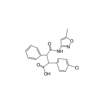 Cc1cc(NC(=O)C(c2ccccc2)C(C(=O)O)c2ccc(Cl)cc2)no1